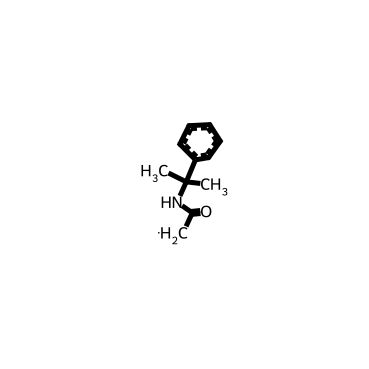 [CH2]C(=O)NC(C)(C)c1ccccc1